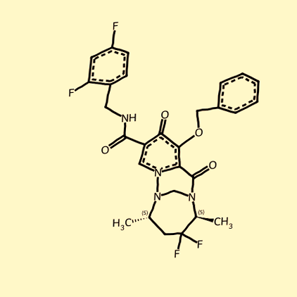 C[C@@H]1N2CN([C@@H](C)CC1(F)F)n1cc(C(=O)NCc3ccc(F)cc3F)c(=O)c(OCc3ccccc3)c1C2=O